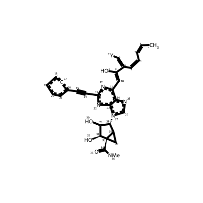 C\C=C/C=C\C(=[CH]\[Y])C(\O)=C\c1nc(C#Cc2ccccc2)nc2c1ncn2[C@H]1C(O)[C@H](O)[C@@]2(C(=O)NC)CC12